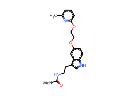 CNC(=O)NCCc1c[nH]c2ccc(OCCOc3cccc(C)n3)cc12